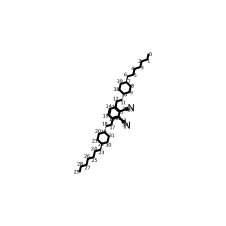 CCCCCCC[C@H]1CC[C@H](CCc2ccc(CC[C@H]3CC[C@H](CCCCCCC)CC3)c(C#N)c2C#N)CC1